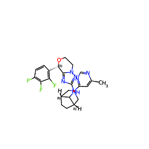 Cc1cc(N2C[C@H]3CC[C@@H](C2)C3Nc2nc3n(n2)CCO[C@H]3c2ccc(F)c(F)c2F)ncn1